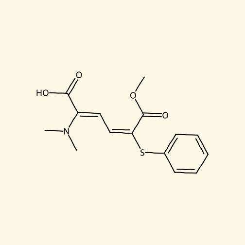 COC(=O)C(=CC=C(C(=O)O)N(C)C)Sc1ccccc1